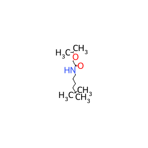 CC(C)OCC(=O)NCCCCC(C)(C)C